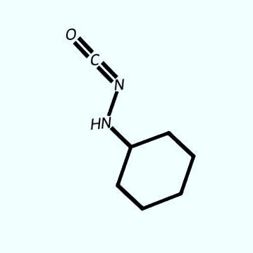 O=C=NNC1CCCCC1